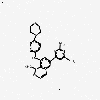 Cc1cc(-c2cc3c(c(Nc4ccc(N5CCOCC5)cc4)n2)C(C=O)NC=C3)nc(N)n1